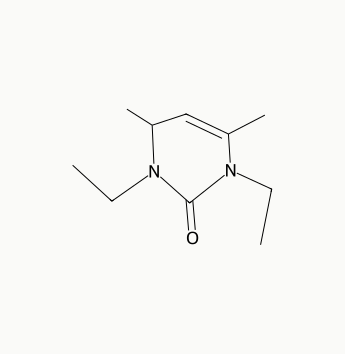 CCN1C(=O)N(CC)C(C)C=C1C